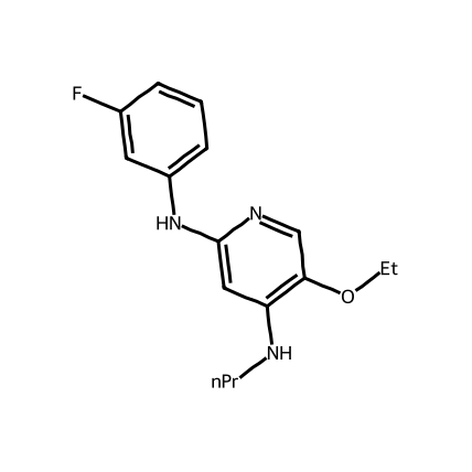 CCCNc1cc(Nc2cccc(F)c2)ncc1OCC